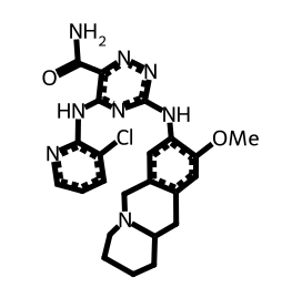 COc1cc2c(cc1Nc1nnc(C(N)=O)c(Nc3ncccc3Cl)n1)CN1CCCCC1C2